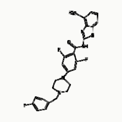 C#Cc1cccc2sc(NC(=O)c3c(F)cc(N4CCN(Cc5ccc(F)cc5)CC4)cc3F)nc12